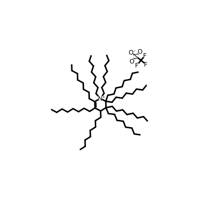 CCCCCCCCC1=C(CCCCCCCC)[N+](CCCCCCCC)(CCCCCCCC)C(CCCCCCCC)(CCCCCCCC)C(CCCCCCCC)(CCCCCCCC)C1CCCCCCCC.O=S(=O)([O-])C(F)(F)F